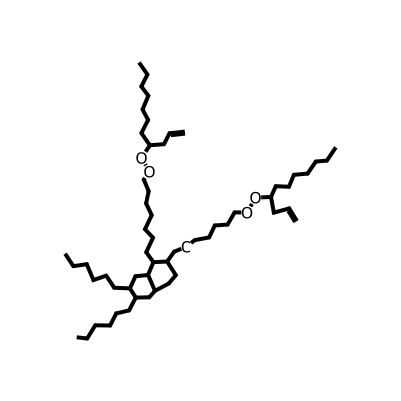 C=CCC(CCCCCCC)OOCCCCCCCC1CCC2CC(CCCCCC)C(CCCCCC)CC2C1CCCCCCCOOC(CC=C)CCCCCCC